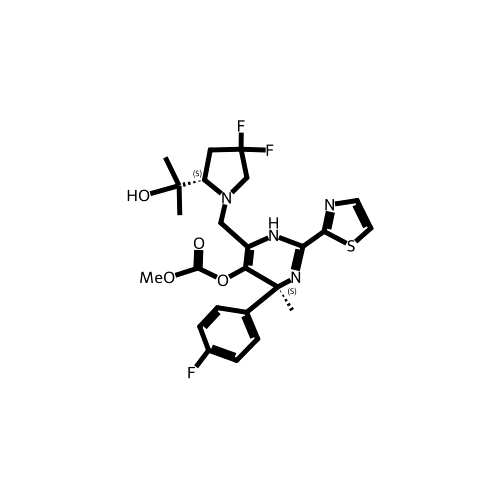 COC(=O)OC1=C(CN2CC(F)(F)C[C@H]2C(C)(C)O)NC(c2nccs2)=N[C@@]1(C)c1ccc(F)cc1